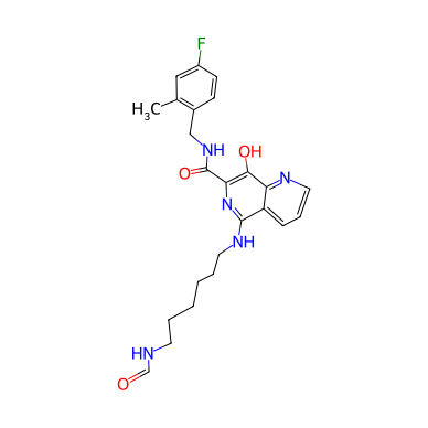 Cc1cc(F)ccc1CNC(=O)c1nc(NCCCCCCNC=O)c2cccnc2c1O